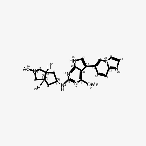 COc1nc(N[C@@H]2C[C@@H]3CN(C(C)=O)C[C@@H]3C2)nc2[nH]cc(-c3ccc4nccn4c3)c12